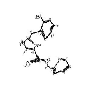 O=C(OCc1ccccc1)c1c[nH]c(Cc2ccccc2Br)n1